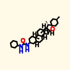 C[C@H]1[C@H]2[C@H](C[C@H]3[C@@H]4CC[C@@H]5C[C@@H](NC(=O)NC6CCCCC6)CC[C@]5(C)[C@H]4CC[C@]23C)O[C@]12CC[C@H](C)CC2